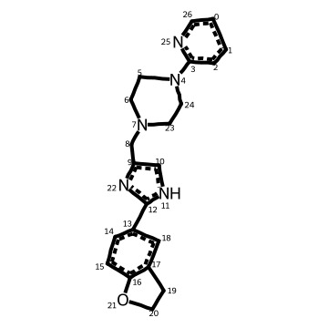 c1ccc(N2CCN(Cc3c[nH]c(-c4ccc5c(c4)CCO5)n3)CC2)nc1